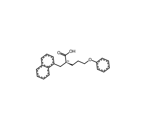 O=C(O)[C@@H](CCCOc1ccccc1)Cc1cccc2ccccc12